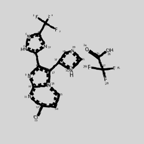 FC(F)(F)c1n[nH]c(-c2nc3nc(Cl)ccn3c2-c2cnc[nH]2)n1.O=C(O)C(F)(F)F